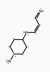 N=C/C=C\NC1CCN(N=O)CC1